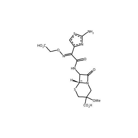 COC1(C(=O)O)CS[C@@H]2C(NC(=O)C(=NOCC(=O)O)c3csc(N)n3)C(=O)N2C1